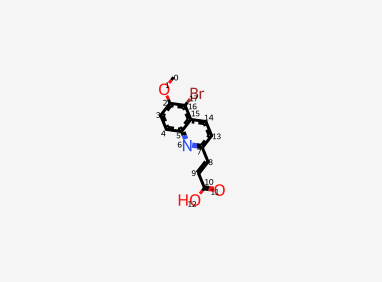 COc1ccc2nc(C=CC(=O)O)ccc2c1Br